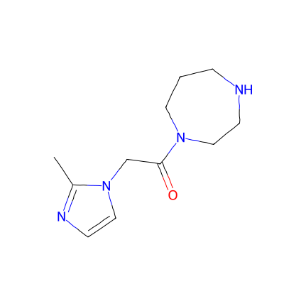 Cc1nccn1CC(=O)N1CCCNCC1